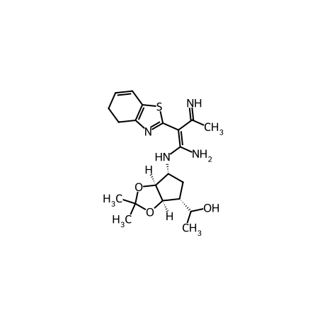 CC(=N)/C(=C(\N)N[C@@H]1C[C@H](C(C)O)[C@H]2OC(C)(C)O[C@H]21)c1nc2c(s1)C=CCC2